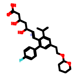 CC(C)c1cc(CCOC2CCCCO2)cc(-c2ccc(F)cc2)c1/C=C/C(O)CC(O)CC(=O)O